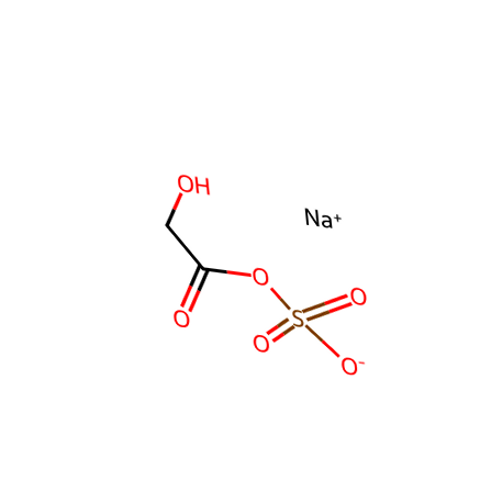 O=C(CO)OS(=O)(=O)[O-].[Na+]